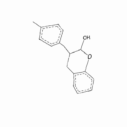 Cc1ccc(C2Cc3ccccc3OC2O)cc1